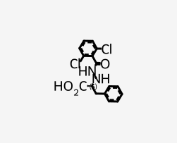 O=C(NN[C@@H](Cc1ccccc1)C(=O)O)c1c(Cl)cccc1Cl